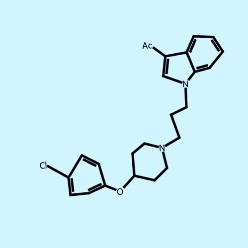 CC(=O)c1cn(CCCN2CCC(Oc3ccc(Cl)cc3)CC2)c2ccccc12